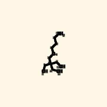 NCCCOCC(CO)(CO)CO